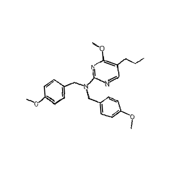 CCCc1cnc(N(Cc2ccc(OC)cc2)Cc2ccc(OC)cc2)nc1OC